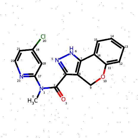 CN(C(=O)c1n[nH]c2c1COc1ccccc1-2)c1cc(Cl)ccn1